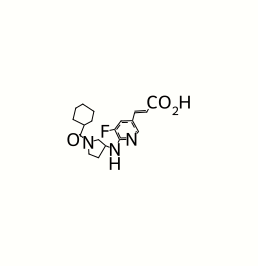 O=C(O)/C=C/c1cnc(NC2CCN(C(=O)C3CCCCC3)C2)c(F)c1